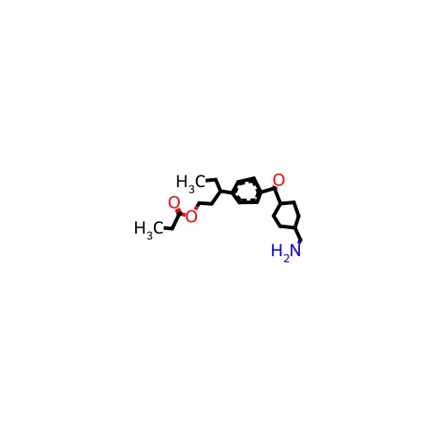 CCC(=O)OCCC(CC)c1ccc(C(=O)C2CCC(CN)CC2)cc1